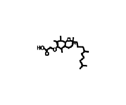 CC1=C(OCC(=O)O)C(C)C2CC[C@@](C)(CCCC(C)CCCC(C)C)OC2C1C